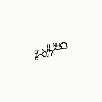 N[C@@H](Cc1ccccc1)C(=O)Nc1ncc([N+](=O)[O-])s1